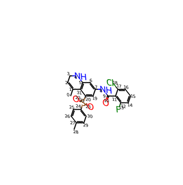 CC1=CCNc2cc(NC(=O)c3c(F)cccc3Cl)cc(S(=O)(=O)c3ccc(C)cc3)c21